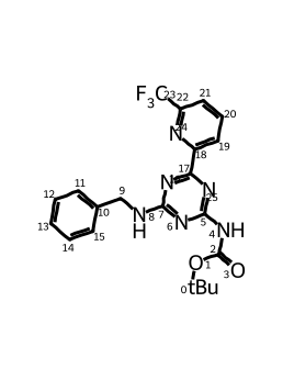 CC(C)(C)OC(=O)Nc1nc(NCc2ccccc2)nc(-c2cccc(C(F)(F)F)n2)n1